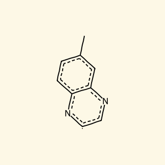 Cc1ccc2n[c]cnc2c1